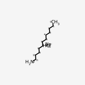 CCCCCCCCCCCCN.Cl.[Na]